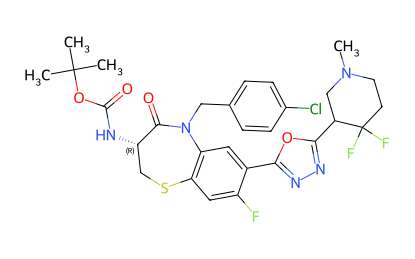 CN1CCC(F)(F)C(c2nnc(-c3cc4c(cc3F)SC[C@H](NC(=O)OC(C)(C)C)C(=O)N4Cc3ccc(Cl)cc3)o2)C1